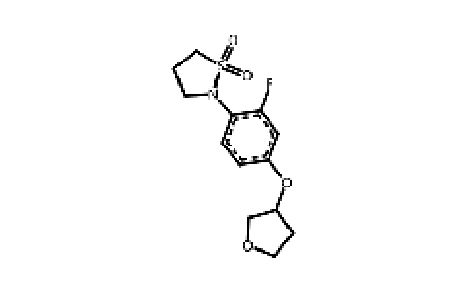 O=S1(=O)CCCN1c1ccc(OC2CCOC2)cc1F